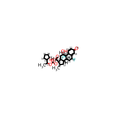 CC(OC(=O)O[C@@]1(C(=O)O)[C@H](C)C[C@H]2[C@@H]3C[C@H](F)C4=CC(=O)C=C[C@]4(C)C3(F)[C@@H](O)C[C@@]21C)C1CCCC1